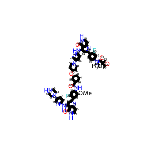 COc1cc(-c2cc(Nc3ccc(N4CCNCC4)cn3)c3c(=O)[nH]ccc3n2)c(F)cc1NC(=O)C1CCCC(OC2CCN(c3ccc(Nc4cc(-c5ccc(N(C)C(=O)C6(C)COC6)cc5F)nc5cc[nH]c(=O)c45)nc3)CC2)C1